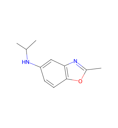 Cc1nc2cc(NC(C)C)ccc2o1